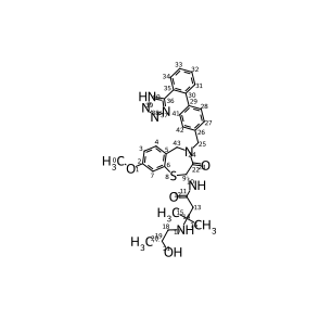 COc1ccc2c(c1)S[C@@H](NC(=O)CC(C)(C)NC[C@@H](C)O)C(=O)N(Cc1ccc(-c3ccccc3-c3nnn[nH]3)cc1)C2